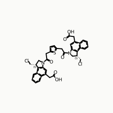 O=C(O)Cc1cc2c(c3ccccc13)[C@H](CCl)CN2C(=O)Cc1ccc(CC(=O)N2C[C@@H](CCl)c3c2cc(CC(=O)O)c2ccccc32)s1